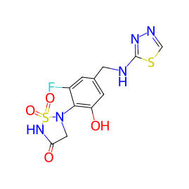 O=C1CN(c2c(O)cc(CNc3nncs3)cc2F)S(=O)(=O)N1